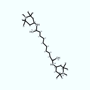 CN1C(C)(C)CC(NC(O)CCCCCCCCC(O)NC2CC(C)(C)N(C)C(C)(C)C2)CC1(C)C